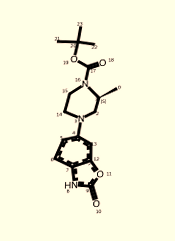 C[C@H]1CN(c2ccc3[nH]c(=O)oc3c2)CCN1C(=O)OC(C)(C)C